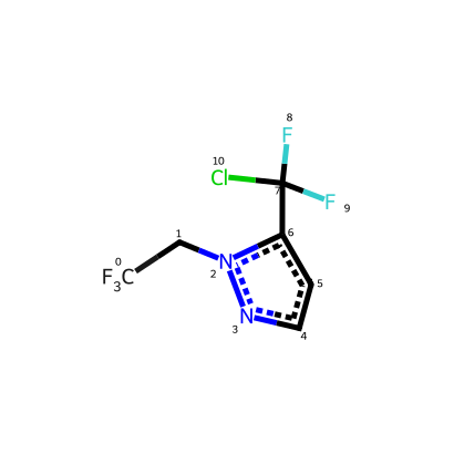 FC(F)(F)Cn1nc[c]c1C(F)(F)Cl